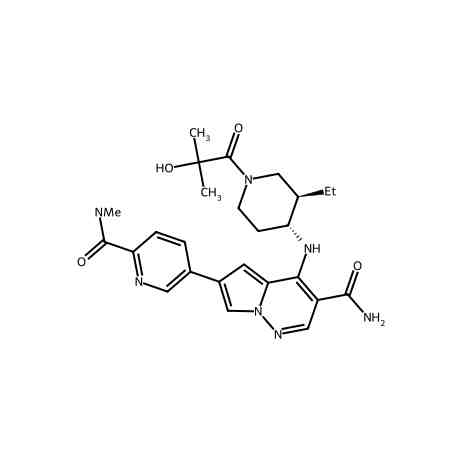 CC[C@@H]1CN(C(=O)C(C)(C)O)CC[C@H]1Nc1c(C(N)=O)cnn2cc(-c3ccc(C(=O)NC)nc3)cc12